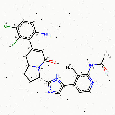 CC(=O)Nc1nccc(-c2cnc([C@@H]3CCC4CC(c5c(N)ccc(Cl)c5F)=CC(=O)N43)[nH]2)c1C